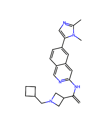 C=C(Nc1cc2cc(-c3cnc(C)n3C)ccc2cn1)C1CN(CC2CCC2)C1